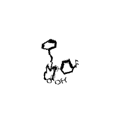 O[C@H]1OCCN(CCc2ccccc2)[C@@H]1c1ccc(F)cc1